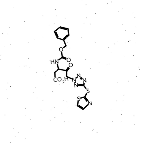 O=C(O)CC(NC(=O)OCc1ccccc1)C(=O)Cn1nnc(Sc2nccs2)n1